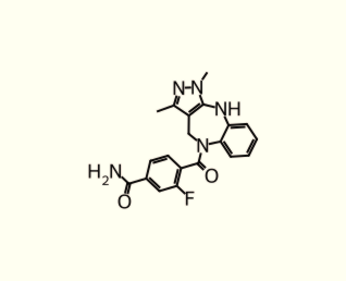 Cc1nn(C)c2c1CN(C(=O)c1ccc(C(N)=O)cc1F)c1ccccc1N2